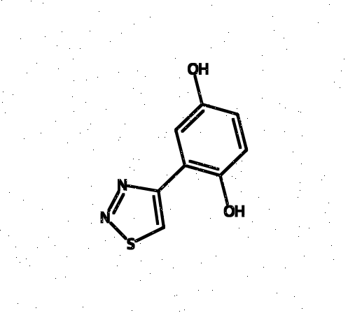 Oc1ccc(O)c(-c2csnn2)c1